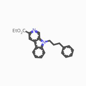 CCOC(=O)c1cc2c3ccccc3n(CCCc3ccccc3)c2cn1